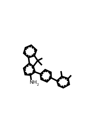 Cc1cccc(-c2ccc(-c3c(N)ccc4c3C(C)(C)c3ccccc3-4)cc2)c1C